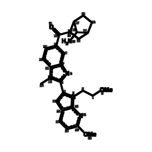 COCCn1c(-c2nc3cc(C(=O)N4CC5CCC4C5N)ccc3n2C)cc2ccc(OC)nc21